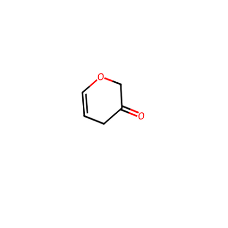 O=C1CC=COC1